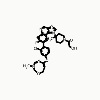 CN1/C=N\C(Oc2ccc(-c3cc4c(cc3F)ncc3ncn(C5(C)CCN(C(=O)CO)CC5)c34)c(Cl)c2)=C/COC1